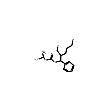 CCCCC(CC)C(OC(=O)OC(C)C)c1ccccc1